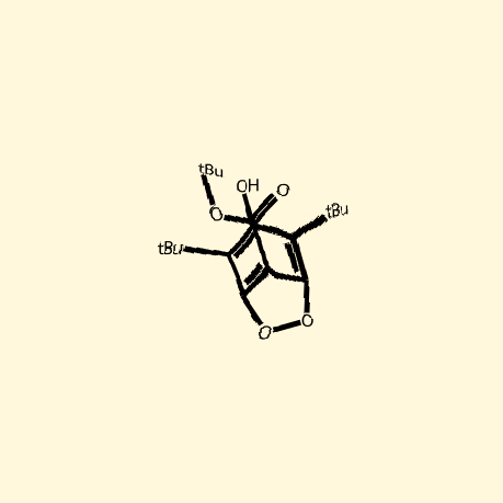 CC(C)(C)OC(=O)c1c2c(C(C)(C)C)c(O)c(C(C)(C)C)c1OO2